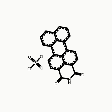 O=C1NC(=O)c2ccc3c4cccc5cccc(c6ccc1c2c63)c54.O=S(=O)(Cl)Cl